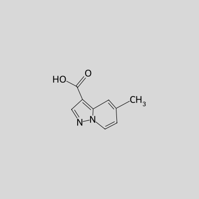 Cc1ccn2ncc(C(=O)O)c2c1